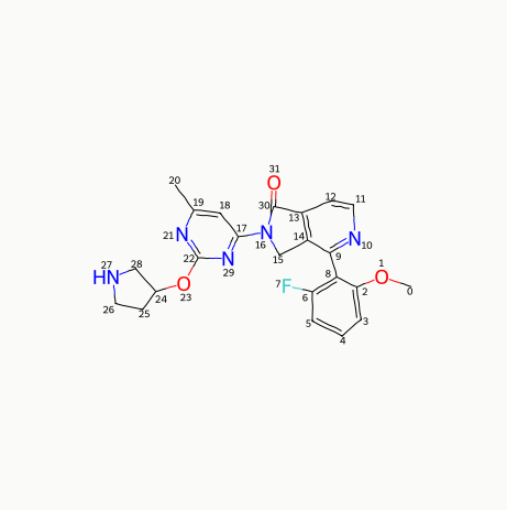 COc1cccc(F)c1-c1nccc2c1CN(c1cc(C)nc(OC3CCNC3)n1)C2=O